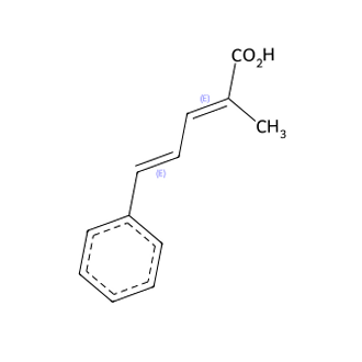 C/C(=C\C=C\c1ccccc1)C(=O)O